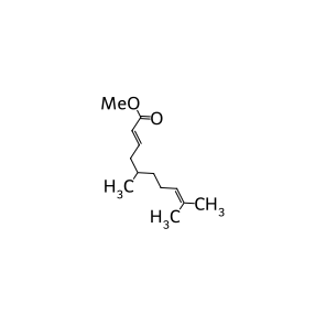 COC(=O)C=CCC(C)CCC=C(C)C